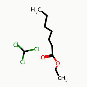 CCCCCCC(=O)OCC.ClC(Cl)Cl